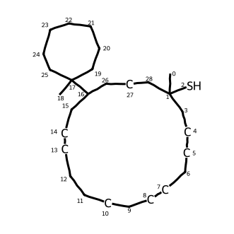 CC1(S)CCCCCCCCCCCCCC(C2(C)CCCCCCC2)CCC1